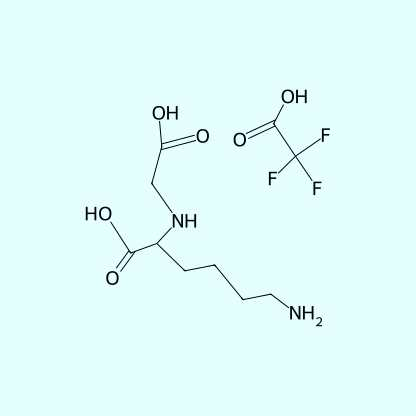 NCCCCC(NCC(=O)O)C(=O)O.O=C(O)C(F)(F)F